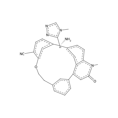 Cn1cnnc1[C@]1(N)c2ccc(C#N)c(c2)OCCc2cccc(c2)-c2cc(=O)n(C)c3ccc1cc23